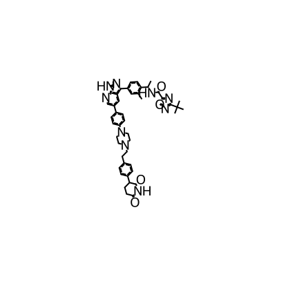 Cc1cc(-c2n[nH]c3ncc(-c4ccc(N5CCN(CCc6ccc(C7CCC(=O)NC7=O)cc6)CC5)cc4)cc23)ccc1C(C)NC(=O)c1nc(C(C)(C)C)no1